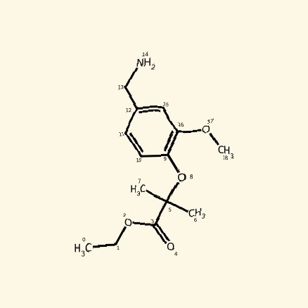 CCOC(=O)C(C)(C)Oc1ccc(CN)cc1OC